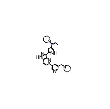 C/C=C(\c1c[nH]c(-c2n[nH]c3ccc(-c4cncc(CN5CCCCC5)c4)nc23)c1)N1CCCCC1